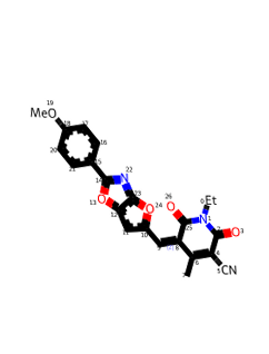 CCN1C(=O)C(C#N)=C(C)/C(=C/c2cc3oc(-c4ccc(OC)cc4)nc3o2)C1=O